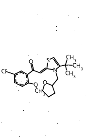 COc1ccc(Cl)cc1C(=O)C=C1SC=C(C(C)(C)C)N1CC1CCCO1